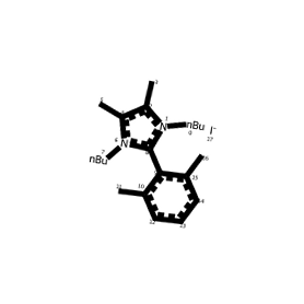 CCCCn1c(C)c(C)[n+](CCCC)c1-c1c(C)cccc1C.[I-]